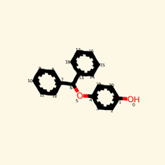 Oc1ccc(OC(c2ccccc2)c2ccccc2)cc1